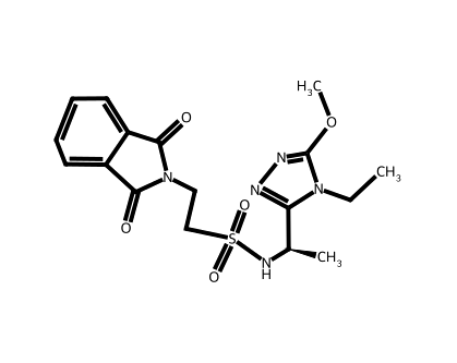 CCn1c(OC)nnc1[C@@H](C)NS(=O)(=O)CCN1C(=O)c2ccccc2C1=O